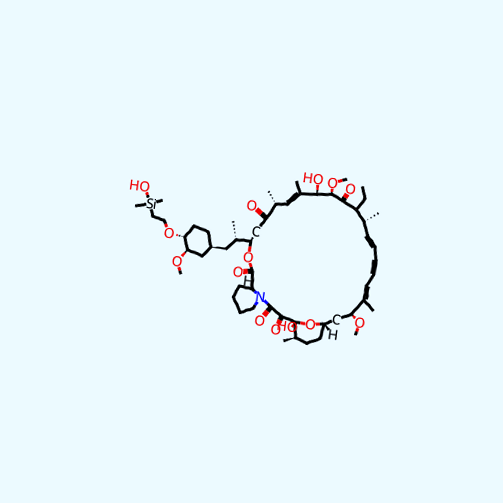 CCC1C(=O)[C@H](OC)[C@H](O)/C(C)=C/[C@@H](C)C(=O)C[C@@H]([C@@H](C)C[C@@H]2CC[C@@H](OCC[Si](C)(C)O)[C@H](OC)C2)OC(=O)[C@@H]2CCCCN2C(=O)C(=O)[C@]2(O)O[C@@H](CC[C@H]2C)C[C@H](OC)/C(C)=C/C=C/C=C/[C@H]1C